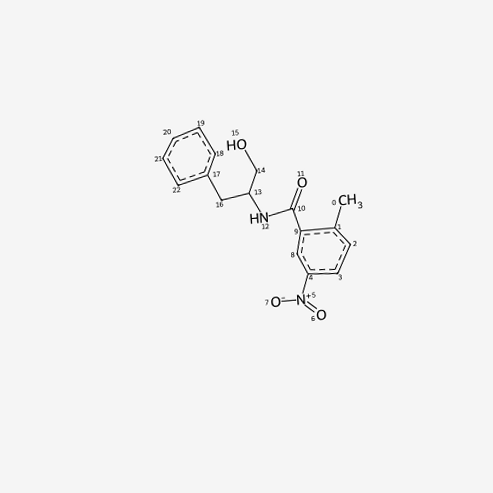 Cc1ccc([N+](=O)[O-])cc1C(=O)NC(CO)Cc1ccccc1